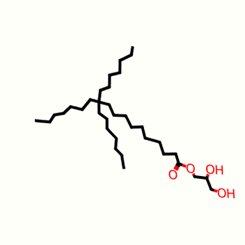 CCCCCCCC(CCCCCCC)(CCCCCCC)CCCCCCCCCC(=O)OCC(O)CO